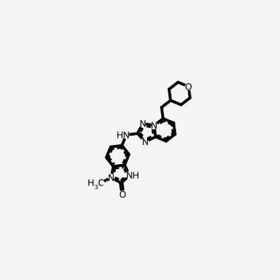 Cn1c(=O)[nH]c2cc(Nc3nc4cccc(CC5CCOCC5)n4n3)ccc21